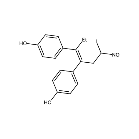 CCC(=C(CC(I)N=O)c1ccc(O)cc1)c1ccc(O)cc1